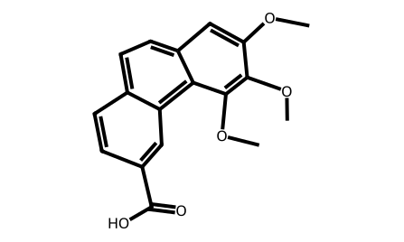 COc1cc2ccc3ccc(C(=O)O)cc3c2c(OC)c1OC